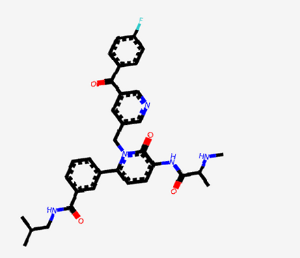 CNC(C)C(=O)Nc1ccc(-c2cccc(C(=O)NCC(C)C)c2)n(Cc2cncc(C(=O)c3ccc(F)cc3)c2)c1=O